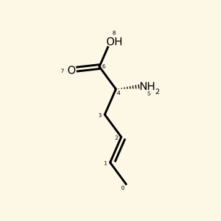 C/C=C/C[C@@H](N)C(=O)O